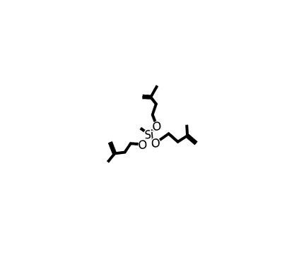 C=C(C)CCO[Si](C)(OCCC(=C)C)OCCC(=C)C